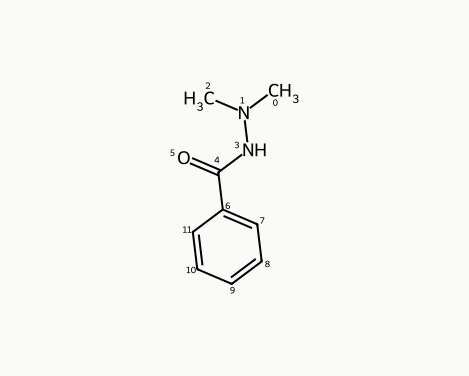 CN(C)NC(=O)c1ccccc1